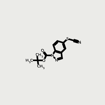 CC(C)(C)OC(=O)n1ncc2cc(SC#N)ccc21